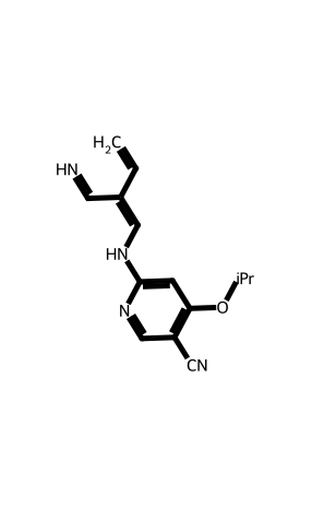 C=C/C(C=N)=C/Nc1cc(OC(C)C)c(C#N)cn1